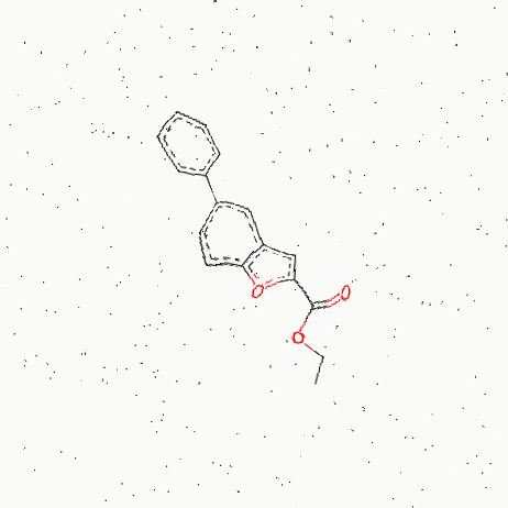 CCOC(=O)c1cc2cc(-c3ccccc3)ccc2o1